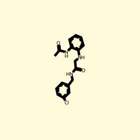 CC(=O)Nc1ccccc1NCC(=O)NCc1cccc(Cl)c1